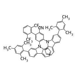 Cc1cc(C)c(-c2ccc3c4ccccc4n(-c4cc(C#N)c(-c5c(C(F)(F)F)cccc5C(F)(F)F)cc4-n4c5ccccc5c5ccc(-c6c(C)cc(C)cc6C)cc54)c3c2)c(C)c1